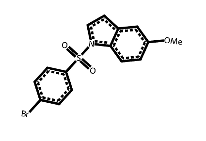 COc1ccc2c(ccn2S(=O)(=O)c2ccc(Br)cc2)c1